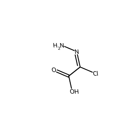 N/N=C(/Cl)C(=O)O